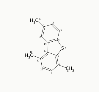 Cc1ccc2sc3c(C)ccc(C)c3c2c1